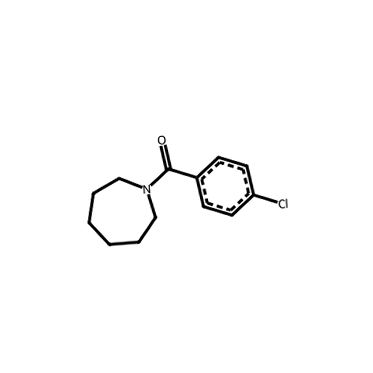 O=C(c1ccc(Cl)cc1)N1CCCCCC1